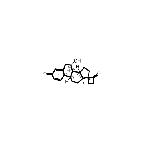 C[C@]12C=CC(=O)C=C1C[C@H](O)[C@@H]1[C@@H]2CC[C@@]2(C)[C@H]1CC[C@@]21CCC1=O